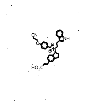 N#CCCOc1ccc(S(=O)(=O)N(CCc2c[nH]c3ccccc23)C2CCc3cc(C=CC(=O)O)ccc32)cc1